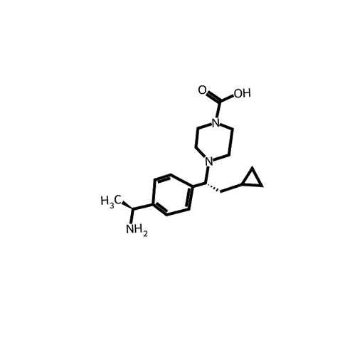 C[C@H](N)c1ccc([C@@H](CC2CC2)N2CCN(C(=O)O)CC2)cc1